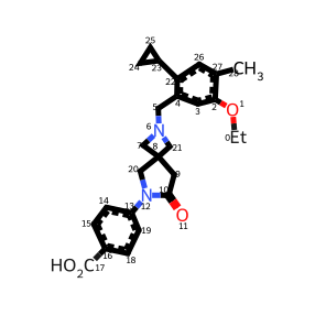 CCOc1cc(CN2CC3(CC(=O)N(c4ccc(C(=O)O)cc4)C3)C2)c(C2CC2)cc1C